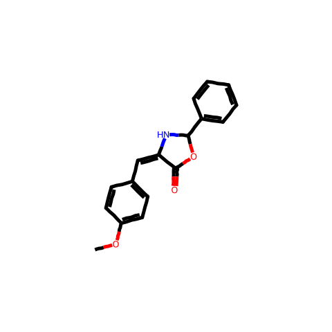 COc1ccc(/C=C2/NC(c3ccccc3)OC2=O)cc1